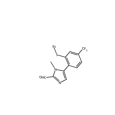 CCSc1cc(C(F)(F)F)ccc1-c1cnc(C=O)n1C